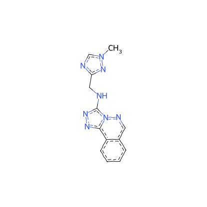 Cn1cnc(CNc2nnc3c4ccccc4cnn23)n1